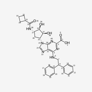 O=C(O)c1nc(NCC(c2ccccc2)c2ccccc2)c2ncn([C@@H]3C[C@H](NC(=O)C4CCC4)[C@@H](O)[C@H]3O)c2n1